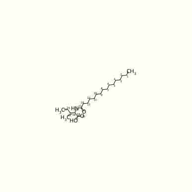 CCCCCCCCCCCCCCCC(=O)N[C@@H](C(=O)O)[C@H](C)CC